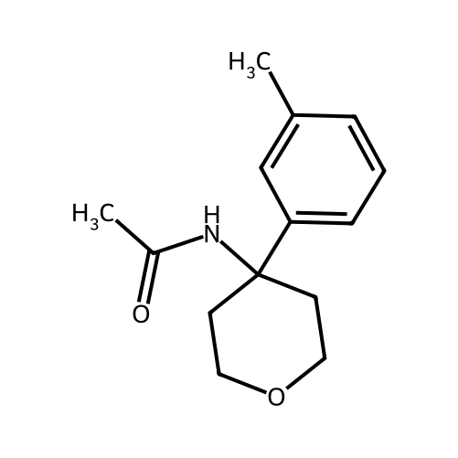 CC(=O)NC1(c2cccc(C)c2)CCOCC1